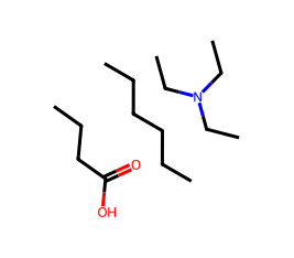 CCCC(=O)O.CCCCCC.CCN(CC)CC